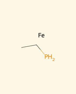 CCP.[Fe]